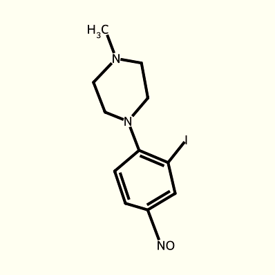 CN1CCN(c2ccc(N=O)cc2I)CC1